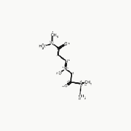 CN(C)C(=O)CN=[N+]([O-])CC(=O)N(C)C